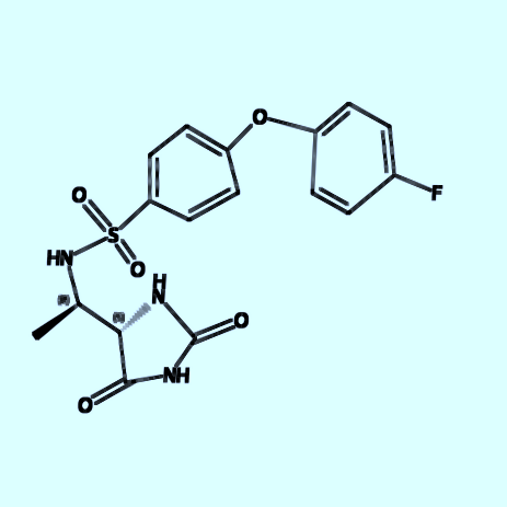 C[C@@H](NS(=O)(=O)c1ccc(Oc2ccc(F)cc2)cc1)[C@@H]1NC(=O)NC1=O